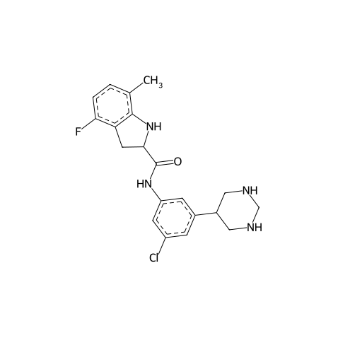 Cc1ccc(F)c2c1NC(C(=O)Nc1cc(Cl)cc(C3CNCNC3)c1)C2